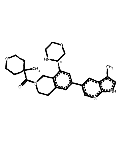 Cc1c[nH]c2ncc(-c3cc4c(c([C@@H]5COCCN5)c3)CN(C(=O)C3(C)CCOCC3)CC4)cc12